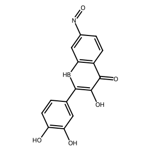 O=Nc1ccc2c(c1)BC(c1ccc(O)c(O)c1)=C(O)C2=O